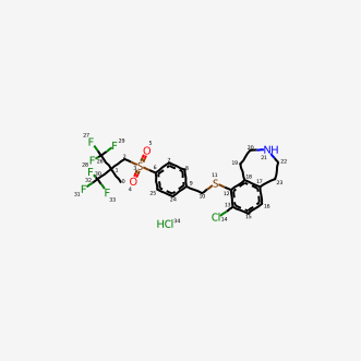 CC(CS(=O)(=O)c1ccc(CSc2c(Cl)ccc3c2CCNCC3)cc1)(C(F)(F)F)C(F)(F)F.Cl